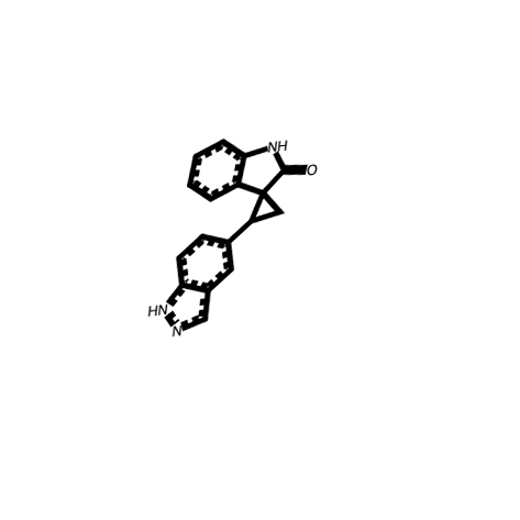 O=C1Nc2ccccc2C12CC2c1ccc2[nH]ncc2c1